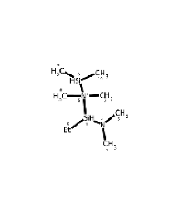 CC[SiH](N(C)C)[N+](C)(C)[SiH](C)C